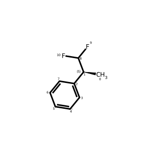 C[C@@H](c1c[c]ccc1)C(F)F